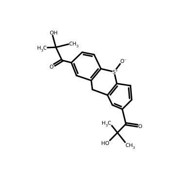 CC(C)(O)C(=O)c1ccc2c(c1)Cc1cc(C(=O)C(C)(C)O)ccc1[S+]2[O-]